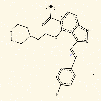 NC(=O)c1ccc2[nH]nc(/C=C/c3ccc(F)cc3)c2c1OCCN1CCOCC1